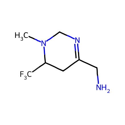 CN1CN=C(CN)CC1C(F)(F)F